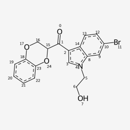 O=C(c1cn(CCO)c2cc(Br)ccc12)C1COc2ccccc2O1